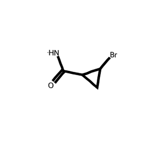 [NH]C(=O)C1CC1Br